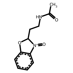 CC(=O)NCCC1Oc2ccccc2[N+]1=O